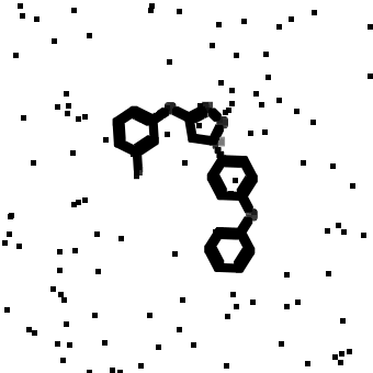 Fc1cccc(OC2=NO[C@H](c3ccc(Oc4ccccc4)cc3)C2)c1